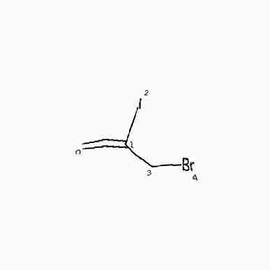 C=C(I)CBr